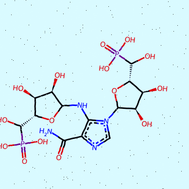 NC(=O)c1ncn(C2O[C@H](C(O)P(=O)(O)O)[C@@H](O)[C@H]2O)c1NC1O[C@H](C(O)P(=O)(O)O)[C@@H](O)[C@H]1O